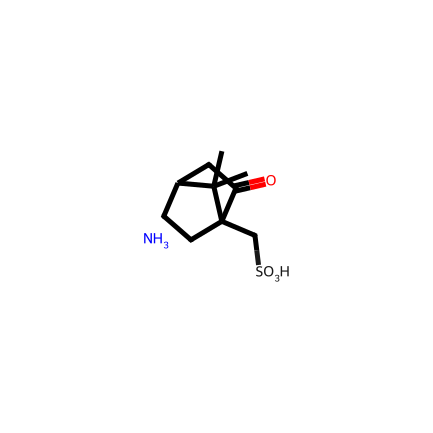 CC1(C)C2CCC1(CS(=O)(=O)O)C(=O)C2.N